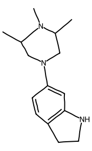 CC1CN(c2ccc3c(c2)NCC3)CC(C)N1C